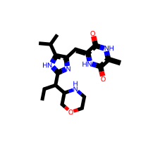 C=c1[nH]c(=O)c(=Cc2nc(C(CC)C3COCCN3)[nH]c2C(C)C)[nH]c1=O